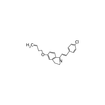 C=CCCOc1ccc2c(c1)CCN=C2/C=C/c1ccc(Cl)cc1